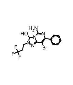 NC1=NC(c2ccccc2)=C(Br)C2=NN(CCC(F)(F)F)C(O)N12